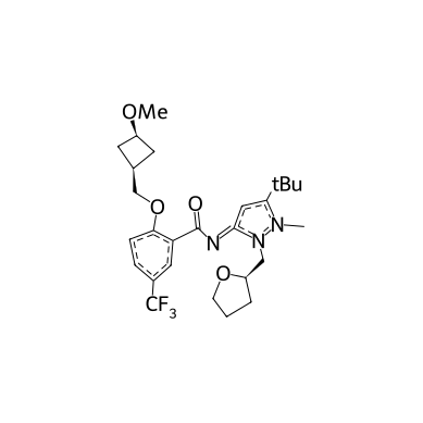 CO[C@H]1C[C@@H](COc2ccc(C(F)(F)F)cc2C(=O)N=c2cc(C(C)(C)C)n(C)n2C[C@H]2CCCO2)C1